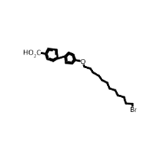 O=C(O)c1ccc(-c2ccc(OCCCCCCCCCCCCBr)cc2)cc1